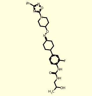 CC(O)CNC(=O)Nc1ccc(C2CCC(=NOC3CCN(c4nc(C(C)C)no4)CC3)CC2)cc1F